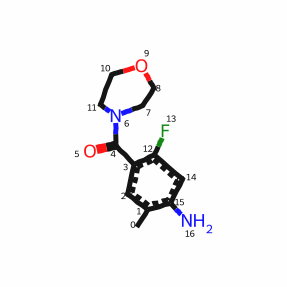 Cc1cc(C(=O)N2CCOCC2)c(F)cc1N